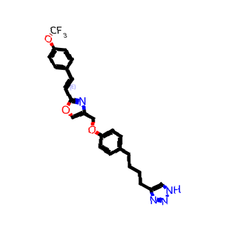 FC(F)(F)Oc1ccc(/C=C/c2nc(COc3ccc(CCCCc4c[nH]nn4)cc3)co2)cc1